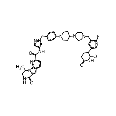 C[C@@H]1CNC(=O)c2cc3ccc(C(=O)Nc4cnn(Cc5ccc(N6CCC(N7CCN(Cc8cc(C9CCC(=O)NC9=O)cnc8F)CC7)CC6)cc5)c4)nc3n21